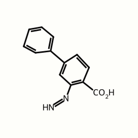 N=Nc1cc(-c2ccccc2)ccc1C(=O)O